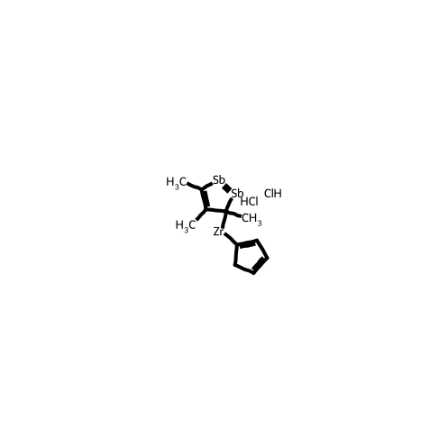 C[C]1=C(C)[C](C)([Zr][C]2=CC=CC2)[Sb]=[Sb]1.Cl.Cl